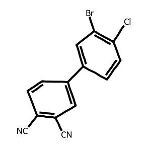 N#Cc1ccc(-c2ccc(Cl)c(Br)c2)cc1C#N